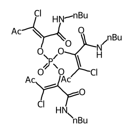 CCCCNC(=O)/C(OP(=O)(O/C(C(=O)NCCCC)=C(/Cl)C(C)=O)O/C(C(=O)NCCCC)=C(/Cl)C(C)=O)=C(\Cl)C(C)=O